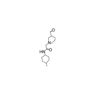 CC1CCC(NC(=O)CN2CCCC(C=O)C2)CC1